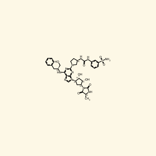 C[C@@H]1NC(=O)N([C@H]2C[C@@H](n3cnc4c(N[C@H](CO)Cc5ccccc5)nc(N5CC[C@@H](NC(=O)Nc6cccc(S(N)(=O)=O)c6)C5)nc43)[C@H](O)[C@@H]2O)C1=O